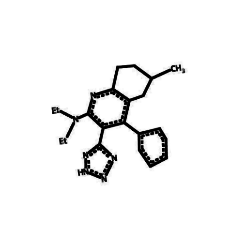 CCN(CC)c1nc2c(c(-c3ccccc3)c1-c1nn[nH]n1)CC(C)CC2